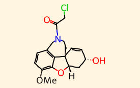 COc1ccc2c3c1O[C@H]1C[C@@H](O)C=C[C@@]31CCN(C(=O)CCl)C2